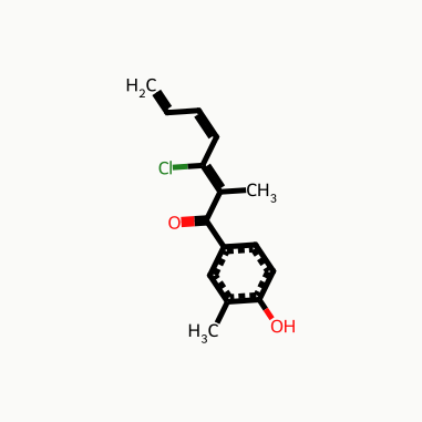 C=C/C=C\C(Cl)=C(/C)C(=O)c1ccc(O)c(C)c1